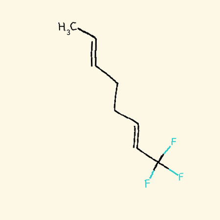 C/C=C/CC/C=C/C(F)(F)F